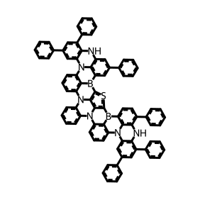 c1ccc(-c2cc3c4c(c2)B2c5sc6c7c5N(c5ccccc5N7c5cccc7c5B6c5ccc(-c6ccccc6)c6c5N7c5cc(-c7ccccc7)cc(-c7ccccc7)c5N6)c5cccc(c52)N4c2cc(-c4ccccc4)cc(-c4ccccc4)c2N3)cc1